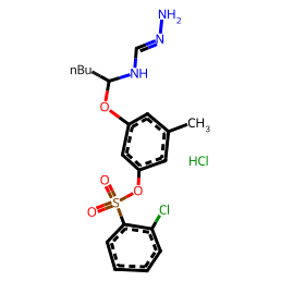 CCCCC(NC=NN)Oc1cc(C)cc(OS(=O)(=O)c2ccccc2Cl)c1.Cl